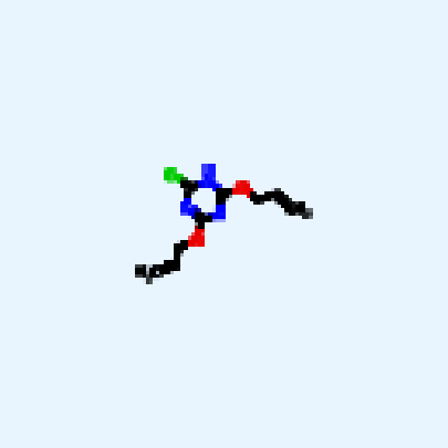 C=CCOC1=NC(Cl)NC(OCC=C)=N1